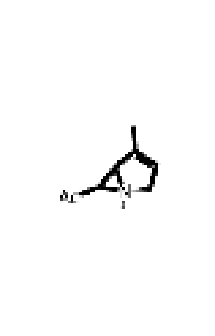 CC(=O)C1C2C(C)=CC[N@@]12